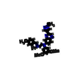 COc1cc(OC)cc(N(CCN(Cc2ccc(C)cc2)C(C)C)c2ccc3ncc(-c4cnn(C)c4)nc3c2)c1